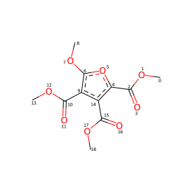 COC(=O)c1oc(OC)c(C(=O)OC)c1C(=O)OC